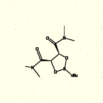 CCCCB1O[C@H](C(=O)N(C)C)[C@H](C(=O)N(C)C)O1